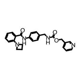 O=C(NCc1ccc(NC(=O)c2ccccc2N2CCC2)cc1)OCc1cccnc1